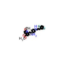 COC(=O)c1ccc(CC(N)[C@H]2CC[C@H](NC/C=C/c3cc(F)ccc3F)CC2)c2nc(OC)ccc12